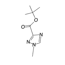 Cn1cnc(C(=O)OC(C)(C)C)n1